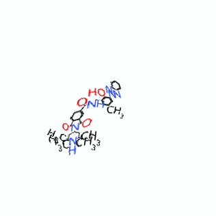 Cc1cc(CNC(=O)c2ccc3c(c2)C(=O)N(C2CC(C)(C)NC(C)(C)C2)C3=O)c(O)c(-n2nc3ccccc3n2)c1